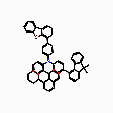 CC1(C)c2ccccc2-c2c(-c3ccc(N(c4ccc(-c5cccc6c5sc5ccccc56)cc4)c4ccccc4-c4cccc5cccc(C6CCCCC6)c45)cc3)cccc21